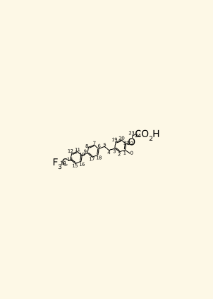 Cc1cc(CCc2ccc(-c3ccc(C(F)(F)F)cc3)cc2)ccc1OCC(=O)O